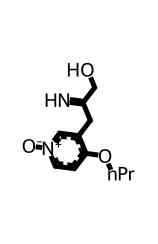 CCCOc1cc[n+]([O-])cc1CC(=N)CO